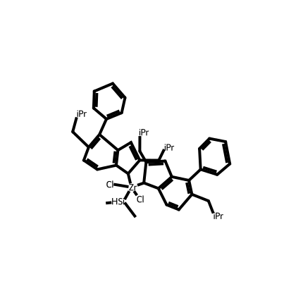 CC(C)CC1=Cc2c(ccc(CC(C)C)c2-c2ccccc2)[CH]1[Zr]([Cl])([Cl])([CH]1C(CC(C)C)=Cc2c1ccc(CC(C)C)c2-c1ccccc1)[SiH](C)C